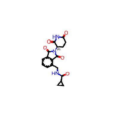 O=C1CC[C@@H](N2C(=O)c3cccc(CNC(=O)C4CC4)c3C2=O)C(=O)N1